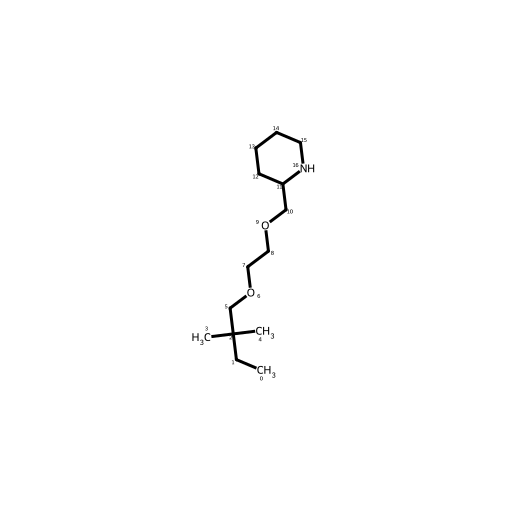 CCC(C)(C)COCCOCC1CCCCN1